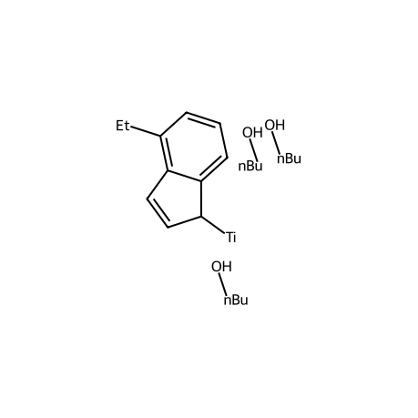 CCCCO.CCCCO.CCCCO.CCc1cccc2c1C=C[CH]2[Ti]